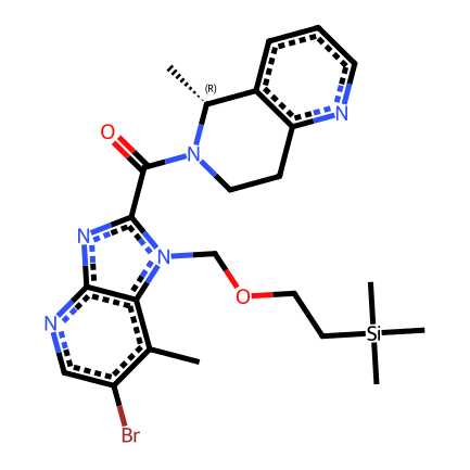 Cc1c(Br)cnc2nc(C(=O)N3CCc4ncccc4[C@H]3C)n(COCC[Si](C)(C)C)c12